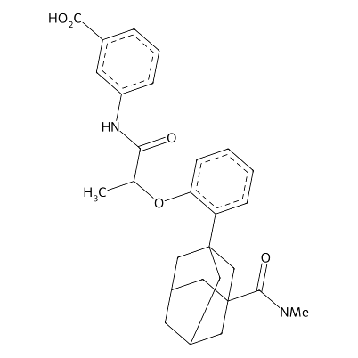 CNC(=O)C12CC3CC(C1)CC(c1ccccc1OC(C)C(=O)Nc1cccc(C(=O)O)c1)(C3)C2